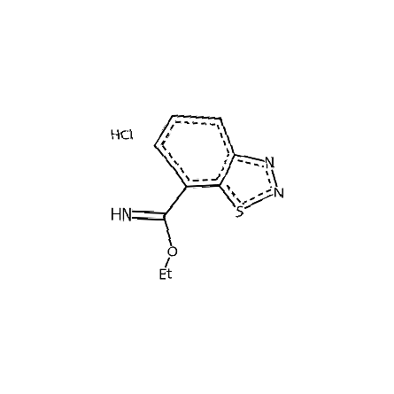 CCOC(=N)c1cccc2nnsc12.Cl